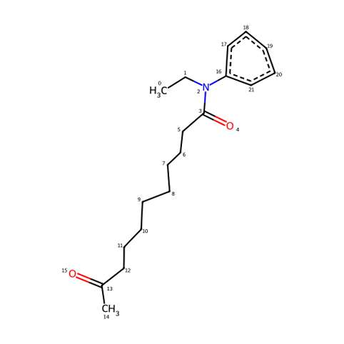 CCN(C(=O)CCCCCCCCC(C)=O)c1ccccc1